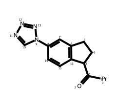 CC(C)C(=O)C1CCc2cc(-n3cnnn3)ccc21